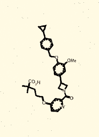 COc1cc(C2CN(C(=O)c3cc(OCCCC(C)(C)C(=O)O)ccn3)C2)ccc1OCc1ccc(C2CC2)cc1